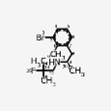 Cc1c(Br)cccc1C[C@@H](C)NCC(C)(C)F